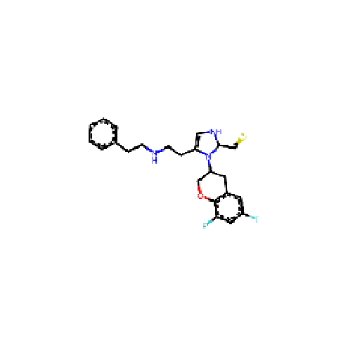 Fc1cc(F)c2c(c1)CC(N1C(CCNCCc3ccccc3)=CNC1C=S)CO2